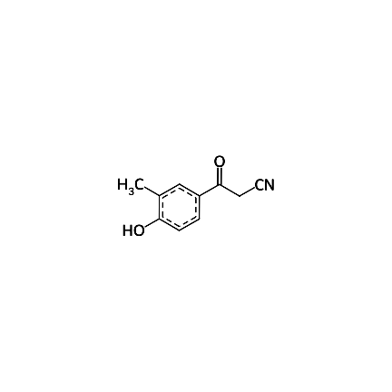 Cc1cc(C(=O)CC#N)ccc1O